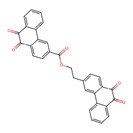 O=C(OCCc1ccc2c(c1)-c1ccccc1C(=O)C2=O)c1ccc2c(c1)-c1ccccc1C(=O)C2=O